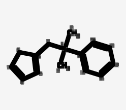 C[Si](C)(CC1=CC=CC1)c1ccccc1